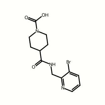 O=C(NCc1ncccc1Br)C1CCN(C(=O)O)CC1